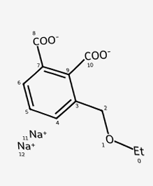 CCOCc1cccc(C(=O)[O-])c1C(=O)[O-].[Na+].[Na+]